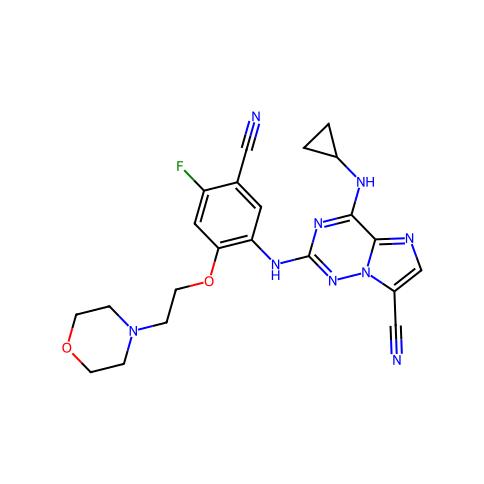 N#Cc1cc(Nc2nc(NC3CC3)c3ncc(C#N)n3n2)c(OCCN2CCOCC2)cc1F